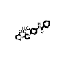 Cc1cc(NC(=O)c2ccccc2)ccc1N1CCC(N2CCCC2C)C1